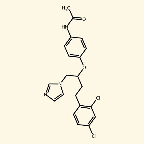 CC(=O)Nc1ccc(OC(CCc2ccc(Cl)cc2Cl)Cn2ccnc2)cc1